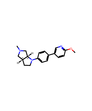 COc1ccc(-c2ccc(N3CC[C@@H]4CN(C)C[C@@H]43)cc2)cn1